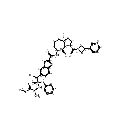 CCCOC(=O)[C@H](C)NP(=O)(Oc1ccccc1)C(F)c1ccc2sc(C(=O)N[C@H]3CCC[C@H]4CC[C@@H](C(=O)N5CC(c6cccnc6)C5)N4C3=O)cc2c1